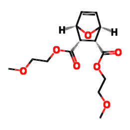 COCCOC(=O)[C@@H]1[C@H](C(=O)OCCOC)[C@H]2C=C[C@@H]1O2